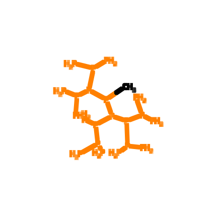 CP(P(P(P)P)P(P)P)P(P(P)P(P)P)P(P(P)P)P(P)P